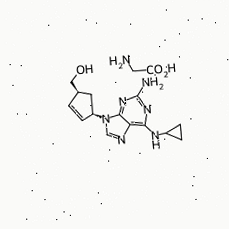 NCC(=O)O.Nc1nc(NC2CC2)c2ncn([C@H]3C=C[C@@H](CO)C3)c2n1